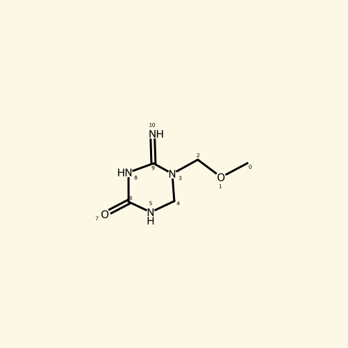 COCN1CNC(=O)NC1=N